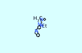 CCn1c(CCN(C)C2CCC2)nc2cc(CN3CCc4ccccc4C3)ccc21